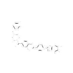 O=C(Nc1ccc(C(=O)N2CCC(Cc3ccc(F)cc3)CC2)cc1C(=O)O)c1ccc(-c2nc3cc(Cl)c(Cl)cc3[nH]2)cc1